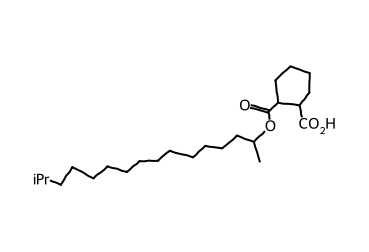 CC(C)CCCCCCCCCCCCC(C)OC(=O)C1CCCCC1C(=O)O